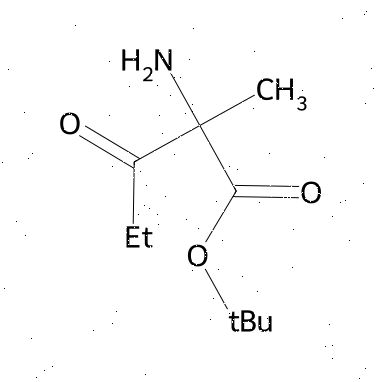 CCC(=O)C(C)(N)C(=O)OC(C)(C)C